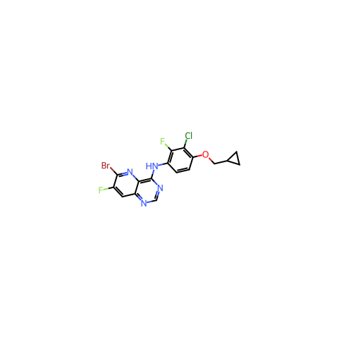 Fc1cc2ncnc(Nc3ccc(OCC4CC4)c(Cl)c3F)c2nc1Br